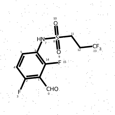 O=Cc1c(F)ccc(NS(=O)(=O)CCC(F)(F)F)c1F